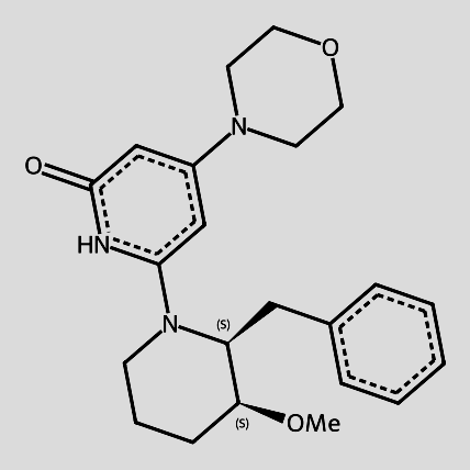 CO[C@H]1CCCN(c2cc(N3CCOCC3)cc(=O)[nH]2)[C@H]1Cc1ccccc1